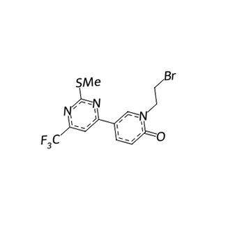 CSc1nc(-c2ccc(=O)n(CCBr)c2)cc(C(F)(F)F)n1